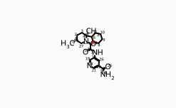 C[C@@H]1CC[C@@](C)(C2CCCCC2)N(C(=O)C(=O)Nc2cncc(C(N)=O)c2)C1